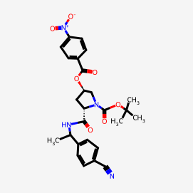 CC(NC(=O)[C@@H]1C[C@@H](OC(=O)c2ccc([N+](=O)[O-])cc2)CN1C(=O)OC(C)(C)C)c1ccc(C#N)cc1